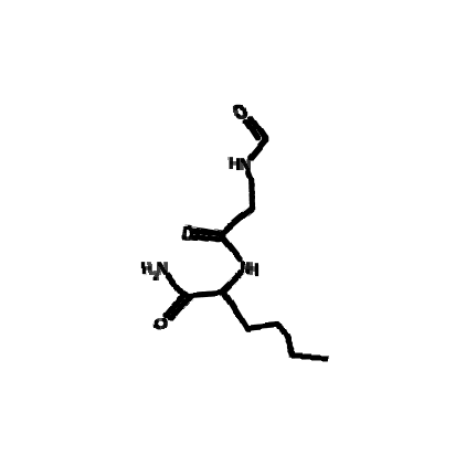 CCCCC(NC(=O)CNC=O)C(N)=O